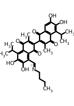 CCCC/N=C/c1c(O)c(O)c(C(C)C)c2c1C(=O)C(C1=C(C)C(=O)c3c(cc(O)c(O)c3C(C)C)C1=O)=C(C)C2=O